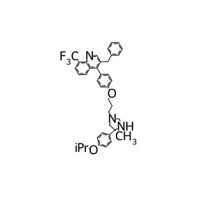 CC(C)Oc1ccc(C2(C)CN(CCCOc3ccc(-c4c(Cc5ccccc5)cnc5c(C(F)(F)F)cccc45)cc3)CN2)cc1